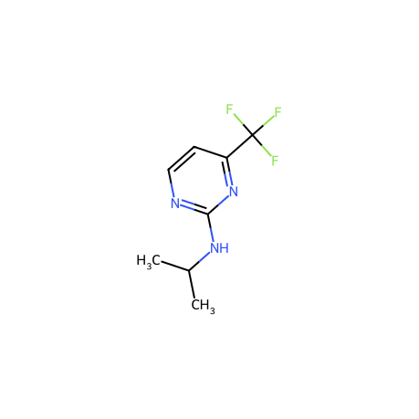 CC(C)Nc1nccc(C(F)(F)F)n1